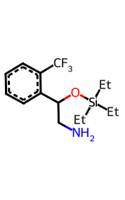 CC[Si](CC)(CC)OC(CN)c1ccccc1C(F)(F)F